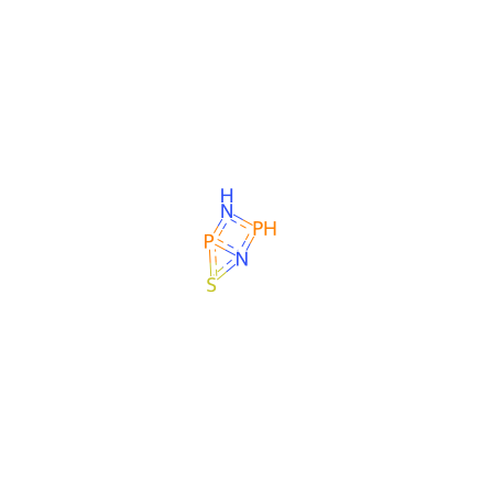 [nH]1[pH]n2sp12